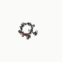 CC[C@H](C)[C@H]1CN(C)[C@@H](C)CN2CC[C@H]2CN(C)[C@@H](CC2CCCCC2)CN(C)CCN[C@@H](CCc2ccc(C(F)(F)F)c(Cl)c2)CN(C)[C@@H](Cc2ccc(C(F)(F)F)nc2)CNC2(CCCC2)CN(C)[C@@H](C2CCCCC2)CN(C)[C@H](C(=O)N2CCCCC2)CCN(C)[C@@H](CC(C)C)CN1